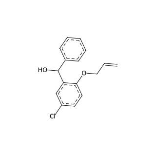 C=CCOc1ccc(Cl)cc1C(O)c1ccccc1